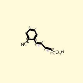 N#Cc1ccccc1/C=C/C=C/C(=O)O